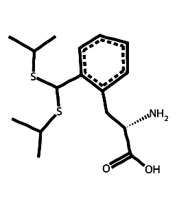 CC(C)SC(SC(C)C)c1ccccc1C[C@H](N)C(=O)O